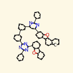 c1ccc(-c2nc(-c3cccc(-c4cccc(-c5nc(-c6ccccc6)nc(-c6cccc7c6oc6ccccc67)n5)c4)c3)cc(-c3ccc4c(c3)oc3c5ccccc5ccc43)n2)cc1